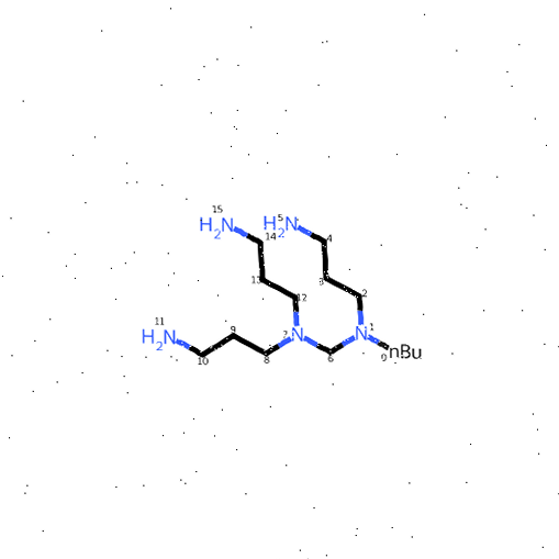 CCCCN(CCCN)CN(CCCN)CCCN